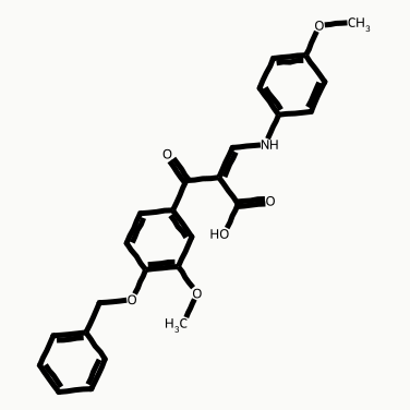 COc1ccc(N/C=C(\C(=O)O)C(=O)c2ccc(OCc3ccccc3)c(OC)c2)cc1